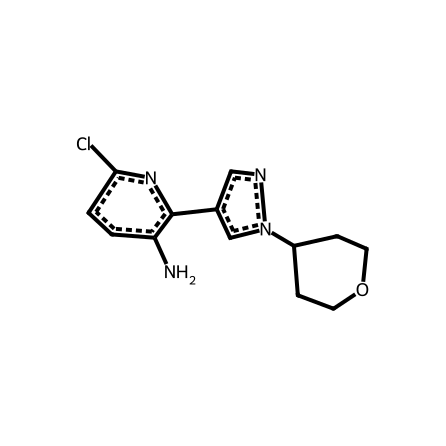 Nc1ccc(Cl)nc1-c1cnn(C2CCOCC2)c1